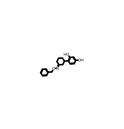 Oc1ccc(C2CCCC(=NOCc3ccccc3)C2)c(O)c1